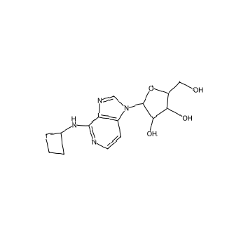 OCC1OC(n2cnc3c(NC4CCC4)nccc32)C(O)C1O